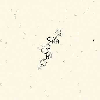 CC(C)(NC(=O)NC[C@]1(C)C=Cc2c(cnn2-c2ccc(F)cc2)C1)c1ccccc1